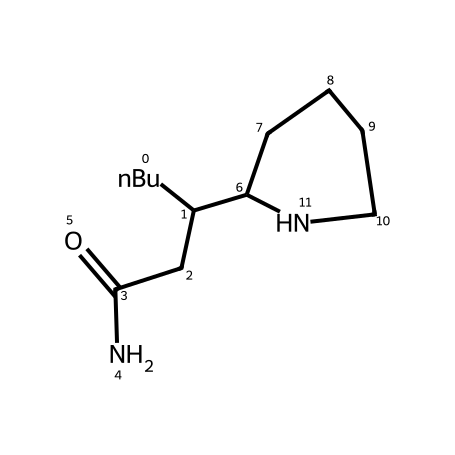 CCCCC(CC(N)=O)C1CCCCN1